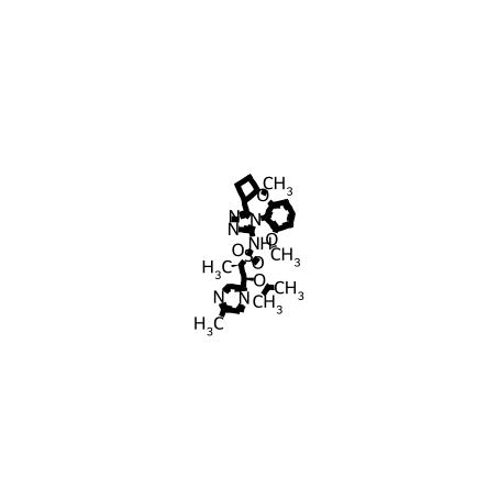 COc1cccc(OC)c1-n1c(NS(=O)(=O)[C@@H](C)[C@@H](OC(C)C)c2cnc(C)cn2)nnc1C1CCC1